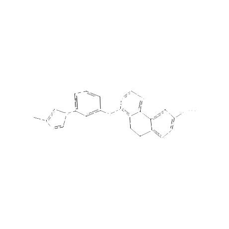 COc1ccc2c(c1)-c1ncnc(Nc3cccc(-n4cnc(C)c4)c3)c1CC2